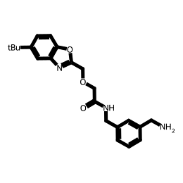 CC(C)(C)c1ccc2oc(COCC(=O)NCc3cccc(CN)c3)nc2c1